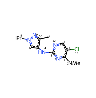 CNc1nc(Nc2cn(C(C)C)nc2C)ncc1Cl